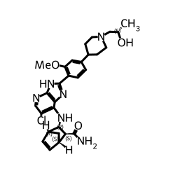 COc1cc(C2CCN(C[C@H](C)O)CC2)ccc1-c1nc2c(N[C@H]3[C@@H](C(N)=O)[C@@H]4C=C[C@H]3C4)c(Cl)cnc2[nH]1